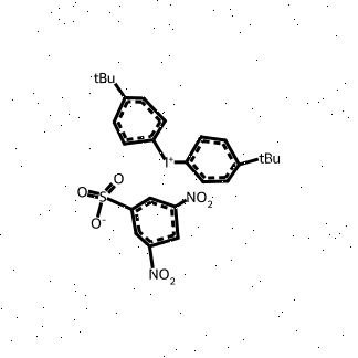 CC(C)(C)c1ccc([I+]c2ccc(C(C)(C)C)cc2)cc1.O=[N+]([O-])c1cc([N+](=O)[O-])cc(S(=O)(=O)[O-])c1